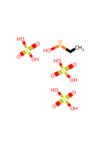 CCPO.O=S(=O)(O)O.O=S(=O)(O)O.O=S(=O)(O)O